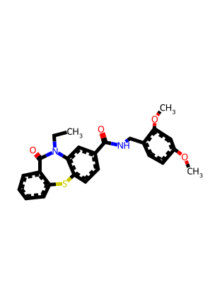 CCN1C(=O)c2ccccc2Sc2ccc(C(=O)NCc3ccc(OC)cc3OC)cc21